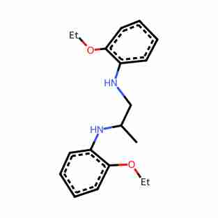 CCOc1ccccc1NCC(C)Nc1ccccc1OCC